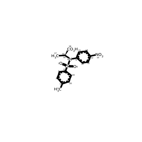 Cc1ccc(S(=O)(=O)N(c2ccc([N+](=O)[O-])cc2)[C@@H](C)C(=O)O)cc1